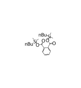 CCCC[Si](C)(C)OC(=O)c1ccccc1C(=O)O[Si](C)(C)CCCC